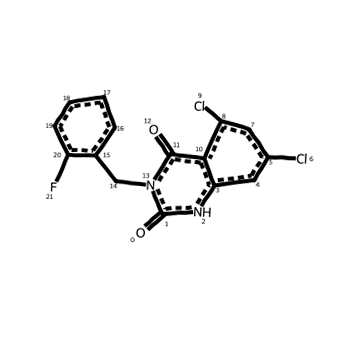 O=c1[nH]c2cc(Cl)cc(Cl)c2c(=O)n1Cc1ccccc1F